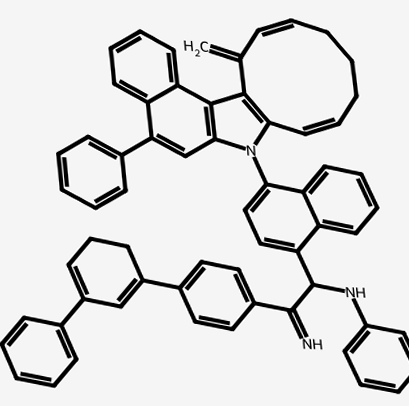 C=C1/C=C\CCC/C=C\c2c1c1c3ccccc3c(-c3ccccc3)cc1n2-c1ccc(C(Nc2ccccc2)C(=N)c2ccc(C3=CC(c4ccccc4)=CCC3)cc2)c2ccccc12